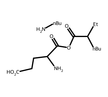 CCCCC(CC)C(=O)OC(=O)C(N)CCC(=O)O.CCCCN